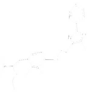 CCO/C(=C\c1ccc(OCCc2nc(-c3ccccc3)oc2C)c(C)c1C)C(=O)O